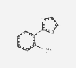 COc1ccccc1-c1ncc[se]1